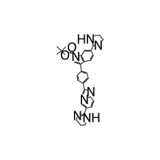 CC(C)(C)OC(=O)n1cc(-c2ccc(-c3cn4cc(C5=NCCCN5)ccc4n3)cc2)c2ccc(C3=NCCCN3)cc21